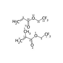 C=C(C)C(=O)OCC(F)(F)F.C=CC(=O)OCC(F)(F)F